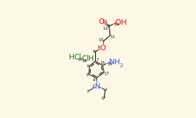 CCN(C)c1ccc(COCCC(=O)O)c(N)c1.Cl.Cl